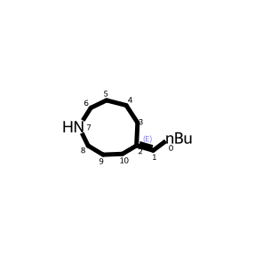 CCCC/C=C1\CCCCNCCC1